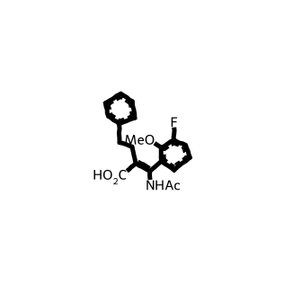 COc1c(F)cccc1C(NC(C)=O)=C(CCc1ccccc1)C(=O)O